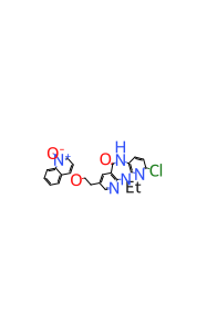 CCN1c2nc(Cl)ccc2NC(=O)c2cc(CCOc3cc[n+]([O-])c4ccccc34)cnc21